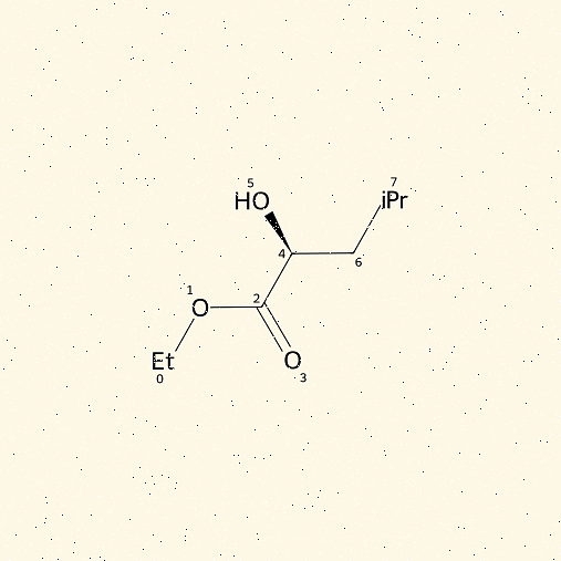 CCOC(=O)[C@@H](O)CC(C)C